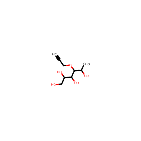 C#CCOC(C(O)C=O)C(O)C(O)CO